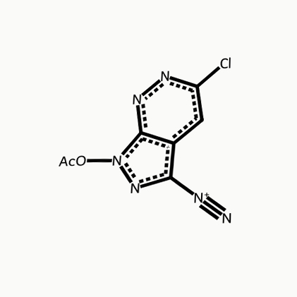 CC(=O)On1nc([N+]#N)c2cc(Cl)nnc21